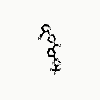 N#Cc1cccnc1N1CCN(C(=O)c2cccc(-c3noc(C(F)(F)F)n3)c2)CC1